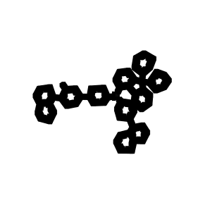 Cc1cc(-c2ccc(N(c3ccc(-c4cccc5ccccc45)cc3)c3cccc4c3-c3ccccc3C4(c3ccccc3)c3ccccc3)cc2)ccc1-c1cccc2ccccc12